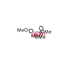 COc1ccc(C2CC(c3ccccc3)(P(=O)(OC)OC)OP2(=O)OC)cc1